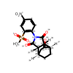 CS(=O)(=O)c1cc([N+](=O)[O-])ccc1N1C(=O)[C@H]2[C@@H]3CC[C@@H](C(=O)C3)[C@H]2C1=O